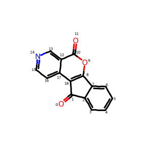 O=C1c2ccccc2-c2oc(=O)c3cnccc3c21